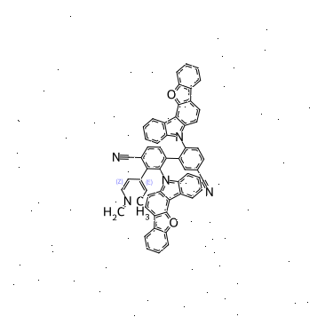 C=N/C=C\C(=C/C)c1c(C#N)ccc(-c2cc(C#N)ccc2-n2c3ccccc3c3c4oc5ccccc5c4ccc32)c1-n1c2ccccc2c2c3oc4ccccc4c3ccc21